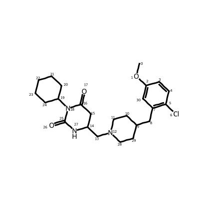 COc1ccc(Cl)c(CC2CCN(CC3CC(=O)N(C4CCCCC4)C(=O)N3)CC2)c1